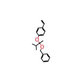 C=Cc1ccc(OC(C)(OCc2ccccc2)C(C)C)cc1